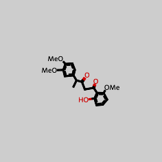 COc1ccc(C(C)C(=O)CC(=O)c2c(O)cccc2OC)cc1OC